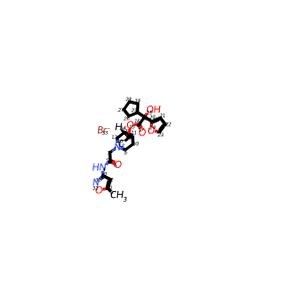 Cc1cc(NC(=O)C[N+]23CCC(CC2)[C@@H](OC(=O)C(O)(c2ccco2)C2CCCC2)C3)no1.[Br-]